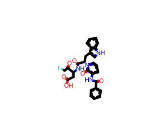 O=C(O)CC(NC(=O)C(Cc1c[nH]c2ccccc12)n1cccc(NC(=O)c2ccccc2)c1=O)C(=O)CF